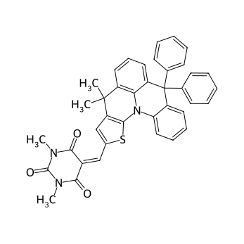 CN1C(=O)C(=Cc2cc3c(s2)N2c4ccccc4C(c4ccccc4)(c4ccccc4)c4cccc(c42)C3(C)C)C(=O)N(C)C1=O